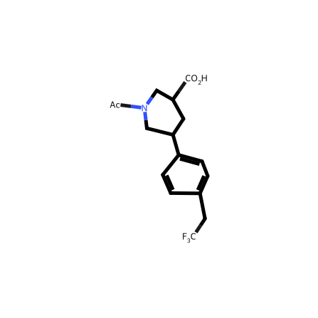 CC(=O)N1CC(C(=O)O)CC(c2ccc(CC(F)(F)F)cc2)C1